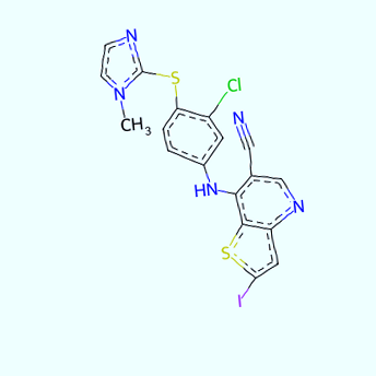 Cn1ccnc1Sc1ccc(Nc2c(C#N)cnc3cc(I)sc23)cc1Cl